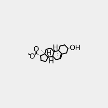 COC(=O)[C@H]1CC[C@H]2[C@@H]3CC=C4C[C@@H](O)CC[C@]4(C)[C@H]3CC[C@]12C